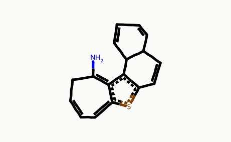 NC1=c2c3c(sc2=CC=CC1)C=CC1C=CC=CC31